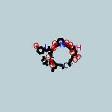 C=CCC1/C=C(\C)CC(C)CC(OC)C2OC(O)(C(=O)C(=O)N3CCCCC3C(=O)OC(C(C)=CC3(I)CCCC(OC)C3)C(C)C(O[Si](C(C)C)(C(C)C)C(C)C)CC1=O)C(C)CC2OC